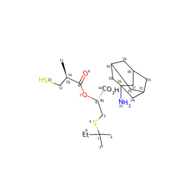 CCC(C)(C)SC[C@H](OC(=O)[C@H](C)CS)C(=O)O.NC12CC3CC(CC(C3)C1)C2